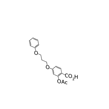 CC(=O)Oc1cc(OCCCOc2ccccc2)ccc1C(=O)O